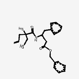 CCCC(S)(CS)C(=O)NC(CC(=O)OCc1ccccc1)Cc1ccccc1